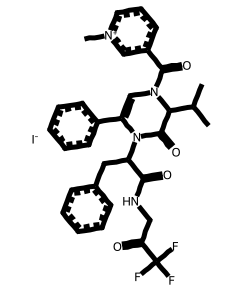 CC(C)C1C(=O)N(C(Cc2ccccc2)C(=O)NCC(=O)C(F)(F)F)C(c2ccccc2)=CN1C(=O)c1ccc[n+](C)c1.[I-]